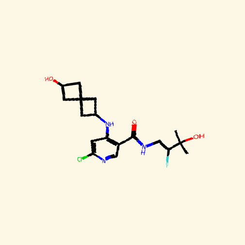 CC(C)(O)C(F)CNC(=O)c1cnc(Cl)cc1NC1CC2(CC(O)C2)C1